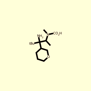 CC(N(C)C(=O)O)C(N)(C1CCCOC1)C(C)(C)C